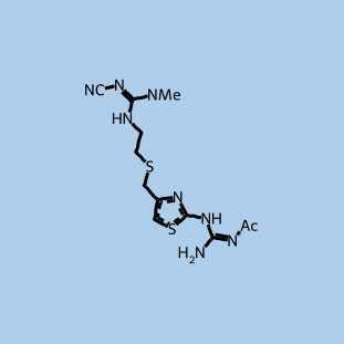 CN/C(=N/C#N)NCCSCc1csc(N/C(N)=N\C(C)=O)n1